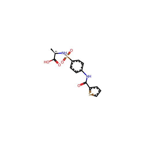 C[C@@H](NS(=O)(=O)c1ccc(NC(=O)c2cccs2)cc1)C(=O)O